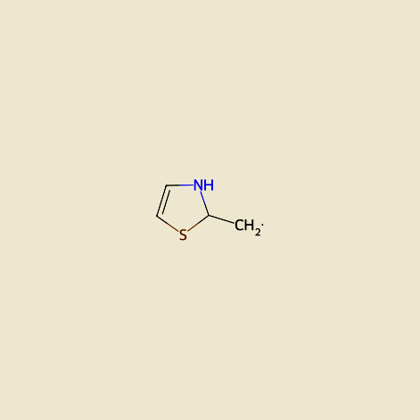 [CH2]C1NC=CS1